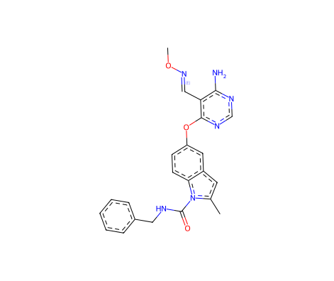 CO/N=C/c1c(N)ncnc1Oc1ccc2c(c1)cc(C)n2C(=O)NCc1ccccc1